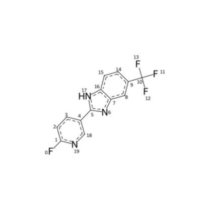 Fc1ccc(-c2nc3cc(C(F)(F)F)ccc3[nH]2)cn1